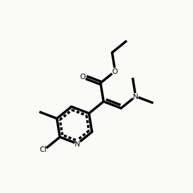 CCOC(=O)C(=CN(C)C)c1cnc(Cl)c(C)c1